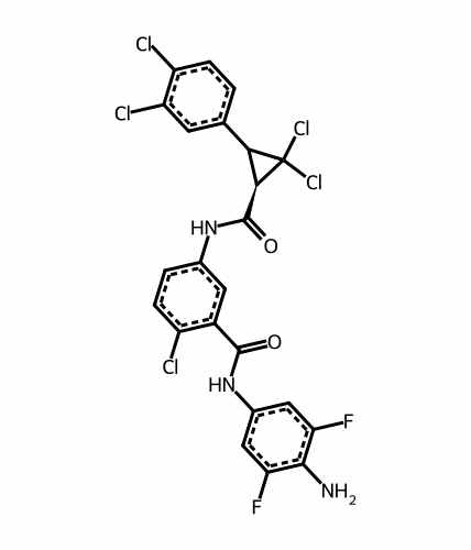 Nc1c(F)cc(NC(=O)c2cc(NC(=O)[C@H]3C(c4ccc(Cl)c(Cl)c4)C3(Cl)Cl)ccc2Cl)cc1F